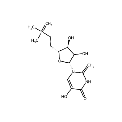 C=C1NC(=O)C(O)=CN1[C@@H]1O[C@H](CCP(=C)(C)C)[C@@H](O)C1O